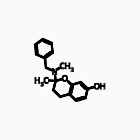 CN(Cc1ccccc1)C1(C)CCc2ccc(O)cc2O1